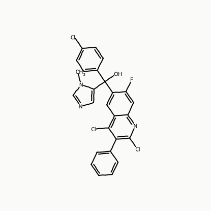 Cn1cncc1C(O)(c1ccc(Cl)cc1)c1cc2c(Cl)c(-c3ccccc3)c(Cl)nc2cc1F